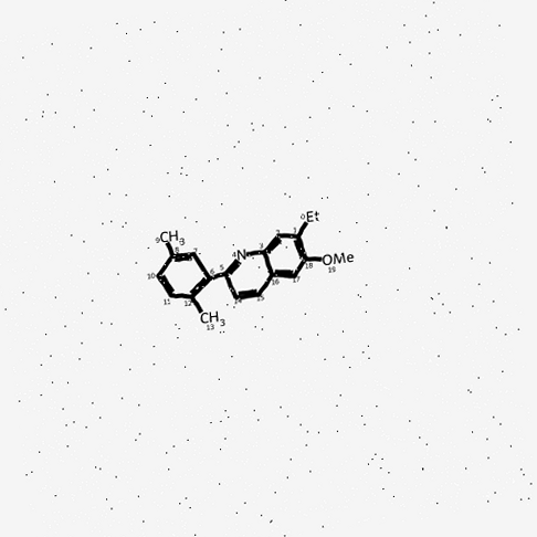 CCc1cc2nc(-c3cc(C)ccc3C)ccc2cc1OC